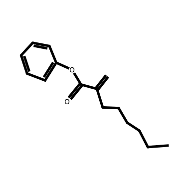 C=C(CCCCCC)C(=O)Oc1ccccc1